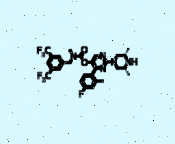 Cc1cc(F)ccc1-c1nc(N2C[C@@H](C)N[C@@H](C)C2)ncc1OC(=O)N(C)Cc1cc(C(F)(F)F)cc(C(F)(F)F)c1